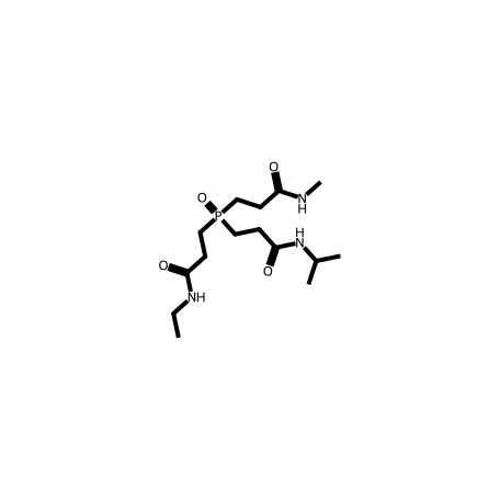 CCNC(=O)CCP(=O)(CCC(=O)NC)CCC(=O)NC(C)C